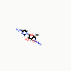 CC[C@@]1(CN=[N+]=[N-])O[C@@H](N2C=CC(N)=NC2)[C@@H](O)[C@@H]1O